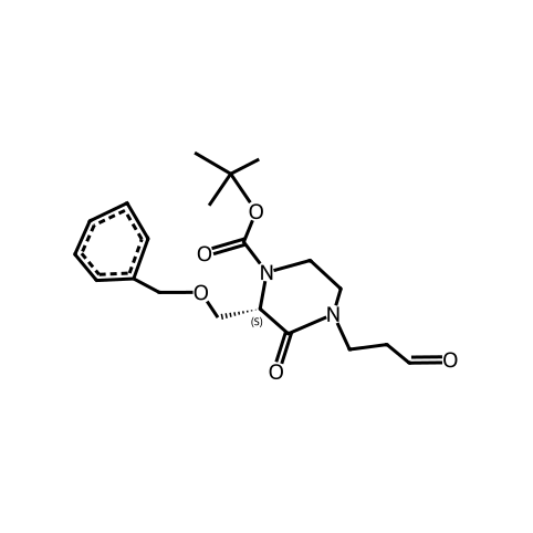 CC(C)(C)OC(=O)N1CCN(CCC=O)C(=O)[C@@H]1COCc1ccccc1